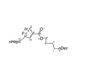 CCCCCCCCCCCCCCOC(=O)C(C)=CC(F)CCCCCCC